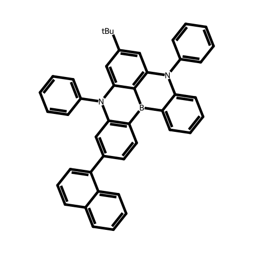 CC(C)(C)c1cc2c3c(c1)N(c1ccccc1)c1cc(-c4cccc5ccccc45)ccc1B3c1ccccc1N2c1ccccc1